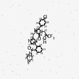 CN1CC2CC1CN2C(=O)c1ccccc1-n1cnc(Cn2nc(-c3ccc(Cl)cc3)n(C[C@H](O)C(F)(F)F)c2=O)n1